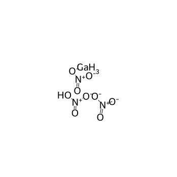 O=[N+]([O-])O.O=[N+]([O-])[O-].O=[N+]([O-])[O-].[GaH3]